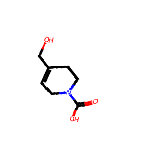 O=C(O)N1CC=C(CO)CC1